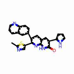 Cc1ncc(-c2nc3[nH]c(=O)c(-c4ccc[nH]4)cc3cc2-c2ccc3ncccc3c2)s1